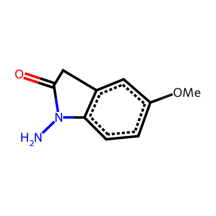 COc1ccc2c(c1)CC(=O)N2N